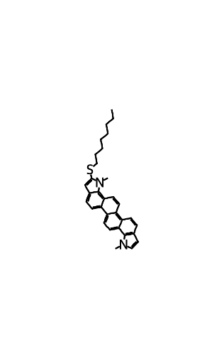 CCCCCCCCSc1cc2ccc3c4ccc5c(ccc6ccn(C)c65)c4ccc3c2n1C